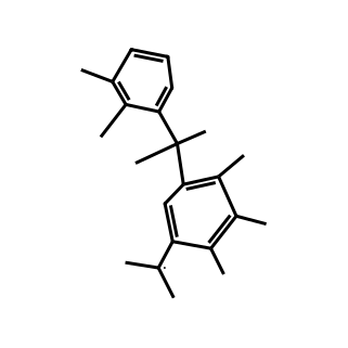 C[C](C)c1cc(C(C)(C)c2cccc(C)c2C)c(C)c(C)c1C